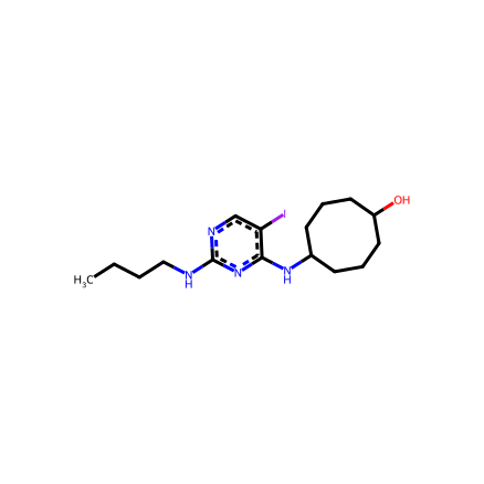 CCCCNc1ncc(I)c(NC2CCCC(O)CCC2)n1